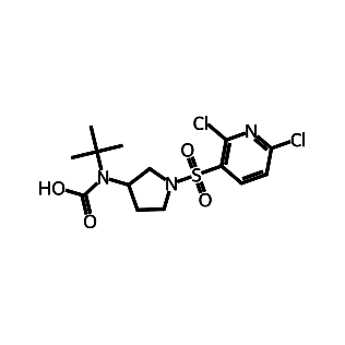 CC(C)(C)N(C(=O)O)C1CCN(S(=O)(=O)c2ccc(Cl)nc2Cl)C1